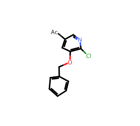 CC(=O)c1cnc(Cl)c(OCc2ccccc2)c1